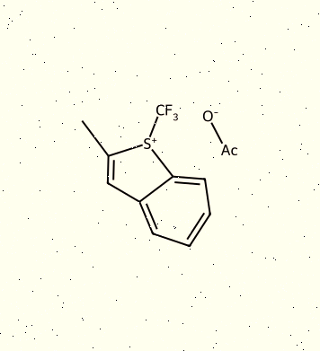 CC(=O)[O-].Cc1cc2ccccc2[s+]1C(F)(F)F